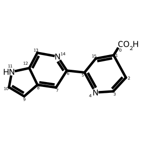 O=C(O)c1ccnc(-c2cc3cc[nH]c3cn2)c1